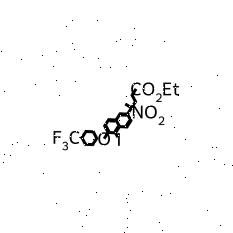 CCOC(=O)CCC(C)(c1ccc2c(I)c(O[C@H]3CC[C@@H](C(F)(F)F)CC3)ccc2c1)[N+](=O)[O-]